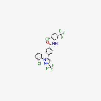 O=C(Nc1cc(C(F)(F)F)ccc1Cl)c1ccc(-c2cc(C(F)(F)F)nn2-c2ccccc2Cl)cc1